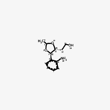 CC1O[C@H](c2ccccc2N)[C@@H](CCO)O1